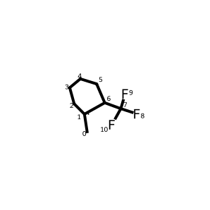 C[C]1CCCCC1C(F)(F)F